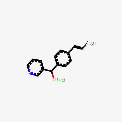 Cl.O=C(O)C=Cc1ccc(C(O)c2cccnc2)cc1